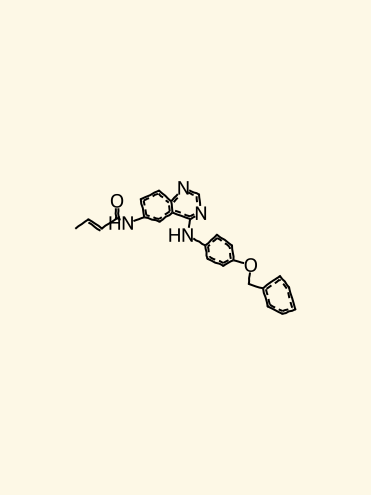 C/C=C/C(=O)Nc1ccc2ncnc(Nc3ccc(OCc4ccccc4)cc3)c2c1